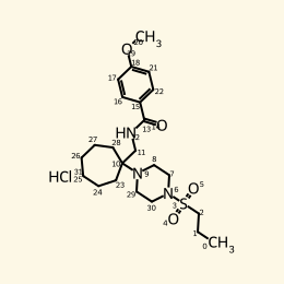 CCCS(=O)(=O)N1CCN(C2(CNC(=O)c3ccc(OC)cc3)CCCCCC2)CC1.Cl